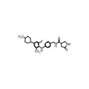 Cc1cc(N2CCC(C)CC2)cc(F)c1Nc1ccc(CNC(=O)C2CNC(=O)C2)cc1